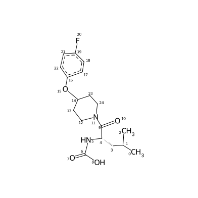 CC(C)C[C@H](NC(=O)O)C(=O)N1CCC(Oc2ccc(F)cc2)CC1